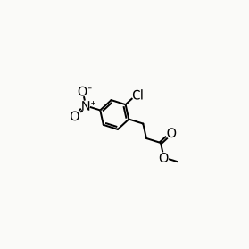 COC(=O)CCc1ccc([N+](=O)[O-])cc1Cl